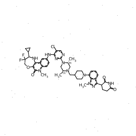 C[C@@H]1CN(CC2CCN(c3cccc4c(C5CCC(=O)NC5=O)nn(C)c34)CC2)[C@@H](C)CN1c1ncc(Cl)c(Nc2ccc3c(c2)c2c(c(=O)n3C)OCC(F)(F)C(C3CC3)N2)n1